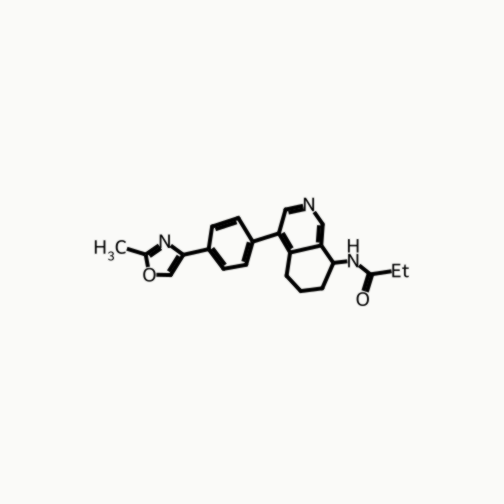 CCC(=O)NC1CCCc2c(-c3ccc(-c4coc(C)n4)cc3)cncc21